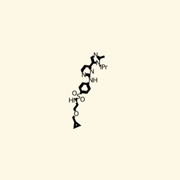 Cc1ncc(-c2ccnc(Nc3ccc(S(=O)(=O)NCCOCC4CC4)cc3)n2)n1C(C)C